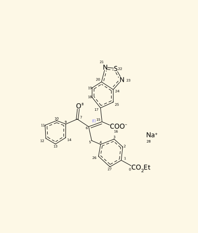 CCOC(=O)c1ccc(C/C(C(=O)c2ccccc2)=C(\C(=O)[O-])c2ccc3nsnc3c2)cc1.[Na+]